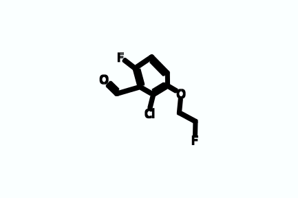 O=Cc1c(F)ccc(OCCF)c1Cl